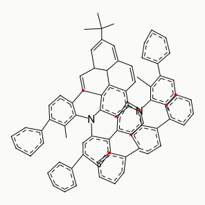 Cc1ccc(-c2ccccc2)c(C)c1N(c1cc(-c2ccccc2)ccc1-c1ccccc1)c1cc(N(c2cc(-c3ccccc3)ccc2-c2ccccc2)c2c(C)ccc(-c3ccccc3)c2C)c2c3c1C=CC1=CC(C(C)(C)C)=CC(C=C2)C13